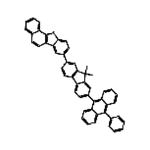 CC1(C)c2cc(-c3ccc4sc5c6ccccc6ccc5c4c3)ccc2-c2ccc(-c3c4ccccc4c(-c4ccccc4)c4ccccc34)cc21